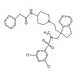 CN(CC1(CCN2CCC(NC(=O)Cc3ccccc3)CC2)CCc2ccccc21)S(=O)(=O)c1cc(Cl)cc(Cl)c1